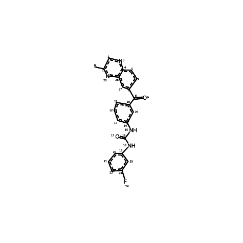 Cc1cnc2ccc(C(=O)c3cccc(NC(=O)Nc4cccc(F)c4)c3)cc2n1